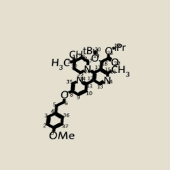 COc1ccc(CCOc2ccc(-c3cnc(C)c([C@H](OC(C)(C)C)C(=O)OC(C)C)c3N3CCC(C)(C)CC3)nc2)cc1